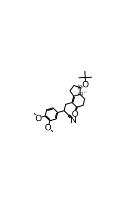 COc1ccc(C(C#N)CC2=C3CC[C@H](OC(C)(C)C)[C@@]3(C)CCC2=O)cc1OC